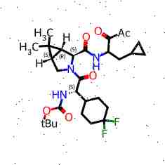 CC(=O)C(=O)C(CC1CC1)NC(=O)[C@@H]1[C@@H]2[C@H](CN1C(=O)[C@@H](NC(=O)OC(C)(C)C)C1CCC(F)(F)CC1)C2(C)C